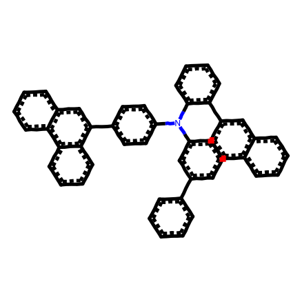 c1ccc(-c2cccc(N(c3ccc(-c4cc5ccccc5c5ccccc45)cc3)c3ccccc3-c3ccc4ccccc4c3)c2)cc1